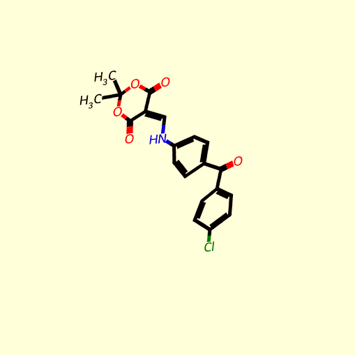 CC1(C)OC(=O)C(=CNc2ccc(C(=O)c3ccc(Cl)cc3)cc2)C(=O)O1